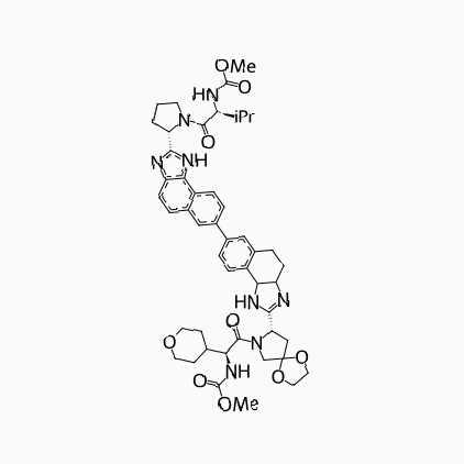 COC(=O)N[C@H](C(=O)N1CCC[C@H]1c1nc2ccc3cc(-c4ccc5c(c4)CCC4N=C([C@@H]6CC7(CN6C(=O)[C@@H](NC(=O)OC)C6CCOCC6)OCCO7)NC54)ccc3c2[nH]1)C(C)C